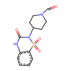 O=CN1CCC(N2C(=O)Nc3ccccc3S2(=O)=O)CC1